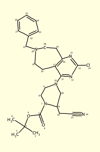 CC(C)(C)OC(=O)N1CCN(c2nc(Cl)nc3c2CCN(Cc2ccccc2)CC3)CC1CC#N